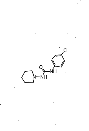 O=C(Nc1ccc(Cl)cc1)NN1CCCCC1